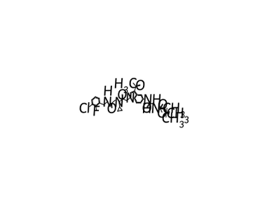 CC(=O)c1cn(CC(=O)N(CC(=O)NCc2cccc(Cl)c2F)C2CC2)c2ccc(NC(=O)CNC(=O)OC(C)(C)C)cc12